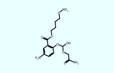 NC(=S)COC(O)Oc1ccc(N)cc1C(=O)OCCCCO[N+](=O)[O-]